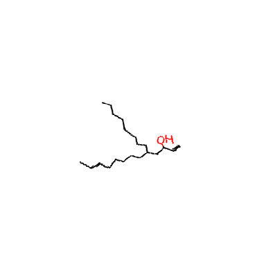 C=CC(O)CC(CCCCCCCC)CCCCCCCC